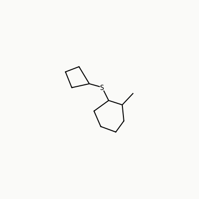 CC1CCCCC1SC1CCC1